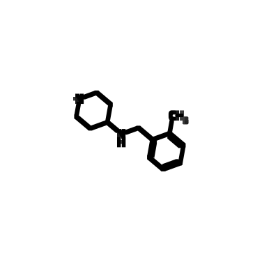 Cc1ccccc1CNC1CC[N]CC1